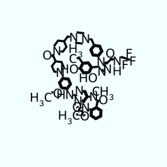 CCOc1cc(N2CCC(C(=O)N3CCC(CN4CCN(Cc5ccc(-n6c(C(=O)NCC(F)(F)F)nnc6-c6cc(CC)c(O)cc6O)cc5)CC4)CC3)CC2)ccc1Nc1ncc2c(n1)N(S(C)(=O)=O)c1ccccc1C(=O)N2C